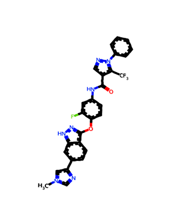 Cn1cnc(-c2ccc3c(Oc4ccc(NC(=O)c5cnn(-c6ccccc6)c5C(F)(F)F)cc4F)n[nH]c3c2)c1